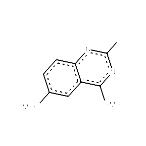 COc1ccc2nc(Cl)nc(OC)c2c1